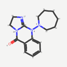 O=C1c2ccccc2N(N2CCCCCC2)C2=NCCN12